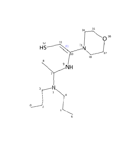 CCCN(CCC)C(C)N/C(=C\S)N1CCOCC1